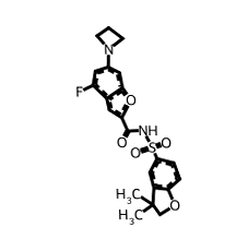 CC1(C)COc2ccc(S(=O)(=O)NC(=O)c3cc4c(F)cc(N5CCC5)cc4o3)cc21